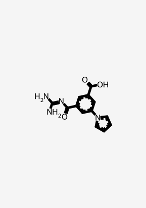 NC(N)=NC(=O)c1cc(C(=O)O)cc(-n2cccc2)c1